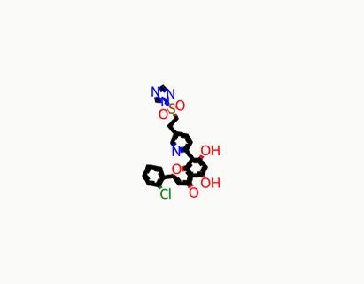 O=c1cc(-c2ccccc2Cl)oc2c(-c3ccc(CCS(=O)(=O)n4cncn4)cn3)c(O)cc(O)c12